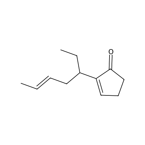 CC=CCC(CC)C1=CCCC1=O